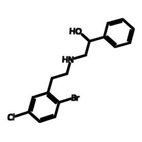 OC(CNCCc1cc(Cl)ccc1Br)c1ccccc1